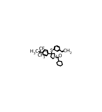 C=Cc1cccc(SC2(c3ccc(C(C)(C(F)(F)F)C(F)(F)F)cc3)CCN(C(=O)C3CCCCC3)C2)c1